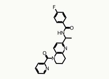 CC(NC(=O)c1ccc(F)cc1)c1ccc2c(n1)CCCN2C(=O)c1ccccn1